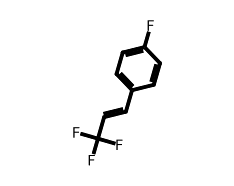 Fc1ccc(C=CC(F)(F)F)cc1